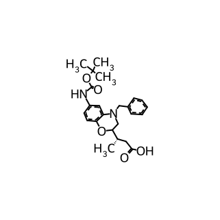 C[C@@H](CC(=O)O)C1CN(Cc2ccccc2)c2cc(NC(=O)OC(C)(C)C)ccc2O1